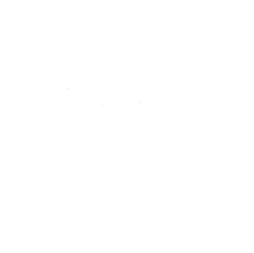 CCOC(=O)C1=C(O[Si](C)(C)C(C)(C)C)CC(O)CC1